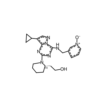 [O-][n+]1cccc(CNc2nc(N3CCCC[C@H]3CCO)nc3c(C4CC4)cnn23)c1